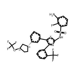 Nc1cccc(S(=O)(=O)Nc2nc(-c3ccccc3C(F)(F)F)c(-c3cccc([C@@H]4CC[C@@H](OC(F)(F)F)C4)c3)s2)c1F